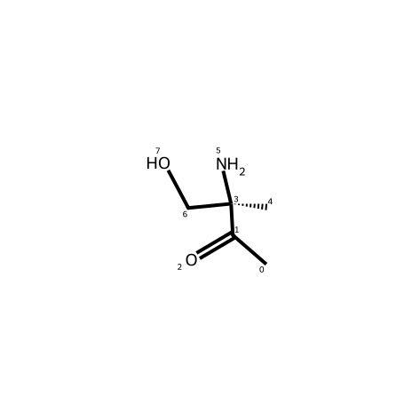 CC(=O)[C@](C)(N)CO